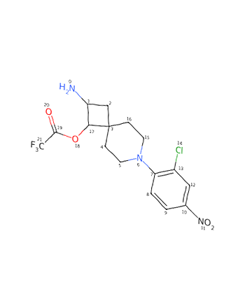 NC1CC2(CCN(c3ccc([N+](=O)[O-])cc3Cl)CC2)C1OC(=O)C(F)(F)F